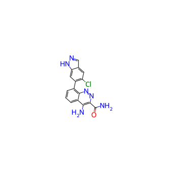 NC(=O)c1nnc2c(-c3cc4[nH]ncc4cc3Cl)cccc2c1N